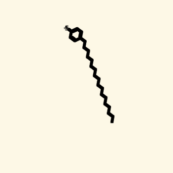 CCCCCCCCCCCCCCCCCCc1ccc([S])cc1